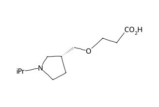 CC(C)N1CC[C@@H](COCCC(=O)O)C1